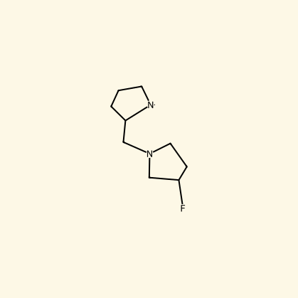 FC1CCN(CC2CCC[N]2)C1